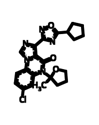 CC1(n2c(=O)c3c(-c4noc(C5CCCC5)n4)ncn3c3ccc(Cl)cc32)CCCO1